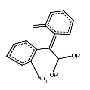 C=c1cccc/c1=C(/c1ccccc1N)C(O)O